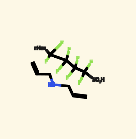 C=CCNCC=C.CCCCCCC(F)(F)C(F)(F)C(F)(F)C(F)(F)S(=O)(=O)O